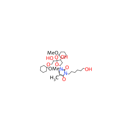 COC1(OCC(O)[C@@]2(OC3(OC)CCCCC3)O[C@@H](n3cc(C)c(=O)n(CCCCCCO)c3=O)C[C@@H]2O)CCCCC1